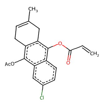 C=CC(=O)Oc1c2c(c(OC(C)=O)c3cc(Cl)ccc13)CC=C(C)C2